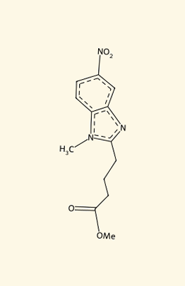 COC(=O)CCCc1nc2cc([N+](=O)[O-])ccc2n1C